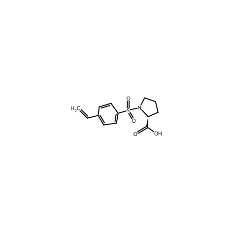 C=Cc1ccc(S(=O)(=O)N2CCC[C@H]2C(=O)O)cc1